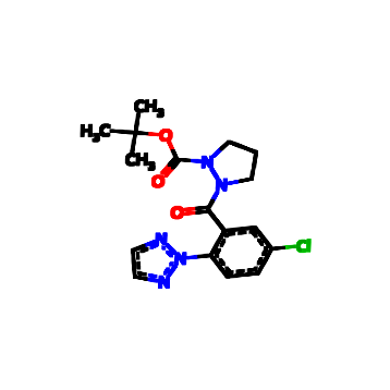 CC(C)(C)OC(=O)N1CCCN1C(=O)c1cc(Cl)ccc1-n1nccn1